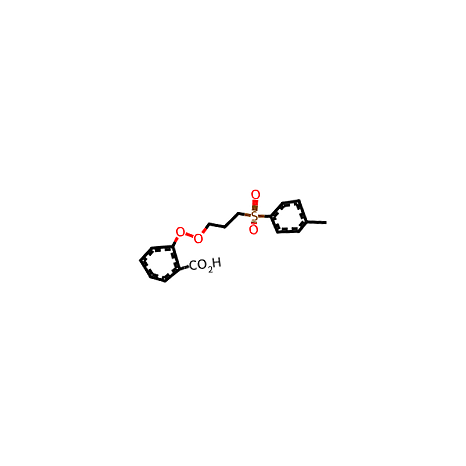 Cc1ccc(S(=O)(=O)CCCOOc2ccccc2C(=O)O)cc1